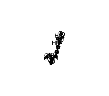 COC(=O)N[C@H](C(=O)N1CCC[C@H]1c1ncc(-c2ccc(-c3ccc(-c4cnc([C@@H]5CC6(CN5C(=O)[C@@H](NC(=O)OC)C(C)C)OCC(C)(C)CO6)[nH]4)cc3)cc2)[nH]1)C(C)C